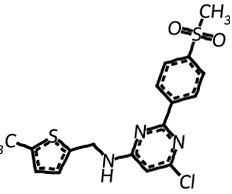 Cc1ccc(CNc2cc(Cl)nc(-c3ccc(S(C)(=O)=O)cc3)n2)s1